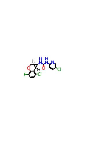 O=C(Nc1ccc(Cl)cn1)N[C@@H]1[C@@H]2COc3c(F)ccc(Cl)c3[C@@H]21